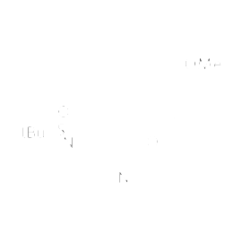 COc1ccc(COCc2cc(/C(C)=N/[S+]([O-])C(C)(C)C)ccn2)cc1